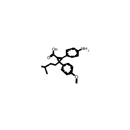 COc1ccc(C2(CCC(C)C)C(C(=O)O)=C2c2ccc(N)cc2)cc1